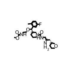 COC(=O)NCCOC(c1cc(F)ccc1C)[C@@H]1CCCN(C(=O)NC[C@H](N)C[C@H]2CCCOC2)C1